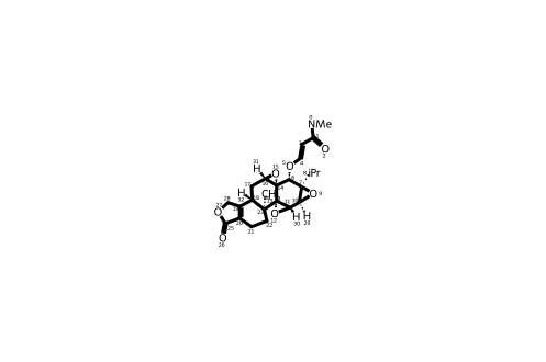 CNC(=O)/C=C/O[C@@H]1[C@@]2(C(C)C)O[C@H]2[C@@H]2O[C@]23[C@]12O[C@H]2C[C@H]1C2=C(CC[C@@]13C)C(=O)OC2